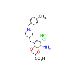 Cc1ccc(CN2CCC(Cc3cc(Cl)c(N)c4c3OCC(C(=O)O)O4)CC2)cc1.Cl